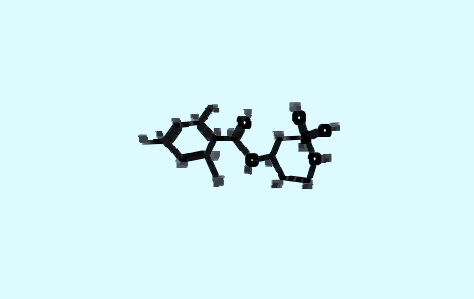 Cc1cc(C)c(C(=O)OC2CCOS(=O)(=O)C2)c(C)c1